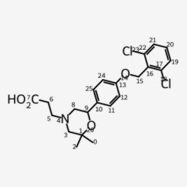 CC1(C)CN(CCC(=O)O)CC(c2ccc(OCc3c(Cl)cccc3Cl)cc2)O1